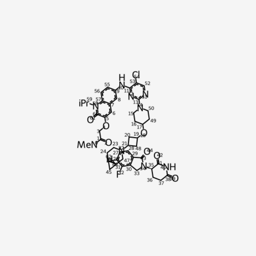 CNC(=O)COc1cc2cc(Nc3nc(N4CCC(OC5CC(N6CCC7(c8ccc9c(c8F)CN([C@@H]8CCC(=O)NC8=O)C9=O)C[C@H]7C6)C5)CC4)ncc3Cl)ccc2n(C(C)C)c1=O